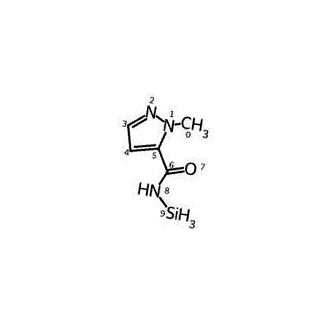 Cn1nccc1C(=O)N[SiH3]